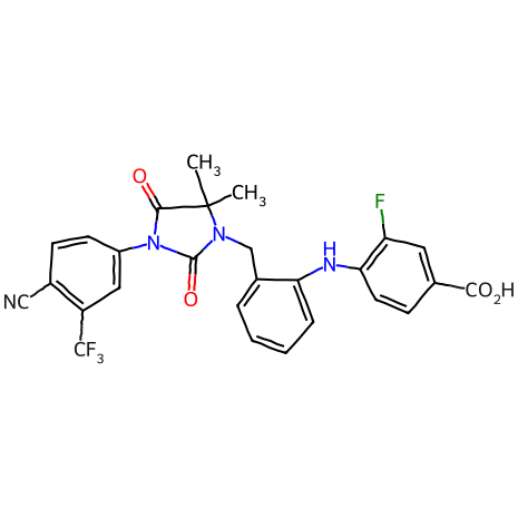 CC1(C)C(=O)N(c2ccc(C#N)c(C(F)(F)F)c2)C(=O)N1Cc1ccccc1Nc1ccc(C(=O)O)cc1F